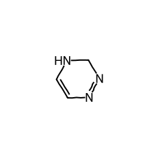 C1=CNCN=N1